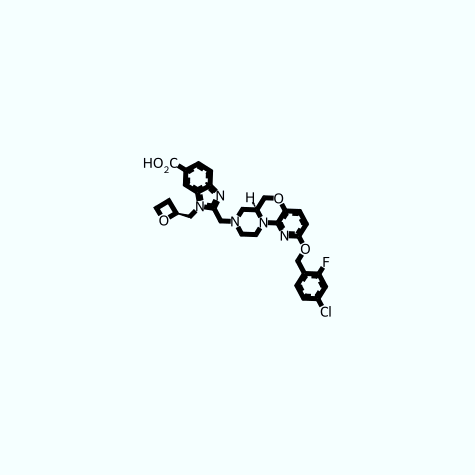 O=C(O)c1ccc2nc(CN3CCN4c5nc(OCc6ccc(Cl)cc6F)ccc5OC[C@@H]4C3)n(C[C@@H]3CCO3)c2c1